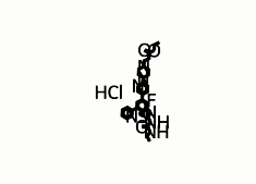 CCNC(=O)Nc1nc2c(F)c(-c3ccc(N4CCN(CCC(=O)OCC)CC4)nc3)cc(-c3ccccn3)c2s1.Cl